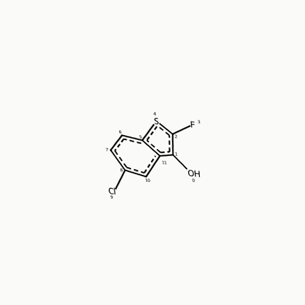 Oc1c(F)sc2ccc(Cl)cc12